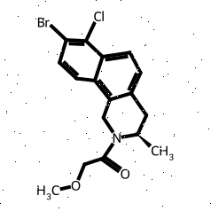 COCC(=O)N1Cc2c(ccc3c(Cl)c(Br)ccc23)C[C@H]1C